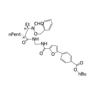 CCCCC[C@@H](C(=O)NCNC(=O)c1ccc(-c2ccc(C(=O)OCCCC)cc2)o1)[C@@H](CC)N(C=O)OCc1ccccc1